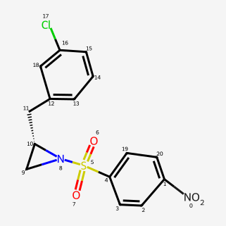 O=[N+]([O-])c1ccc(S(=O)(=O)N2C[C@@H]2Cc2cccc(Cl)c2)cc1